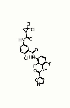 O=C(Nc1c(F)ccc(NC(=O)c2cc(NC(=O)C3CC3(Cl)Cl)ccc2Cl)c1F)c1ccno1